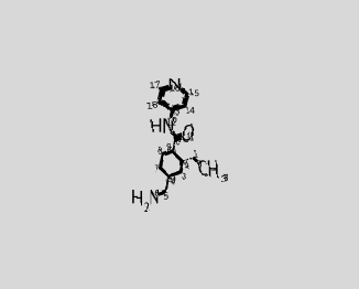 CC[C@@H]1C[C@@H](CN)CC[C@H]1C(=O)Nc1ccncc1